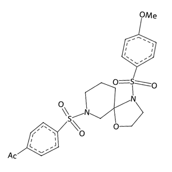 COc1ccc(S(=O)(=O)N2CCOC23CCCN(S(=O)(=O)c2ccc(C(C)=O)cc2)C3)cc1